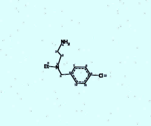 CCN(CCN)Cc1ccc(Cl)cc1